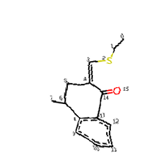 CCSC=C1CC(C)c2ccccc2C1=O